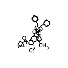 Cc1c[nH]c2c(OP(=O)(OCc3ccccc3)OCc3ccccc3)cc3c(c12)[C@H](CCl)CN3C(=O)C12CC3CC31C2